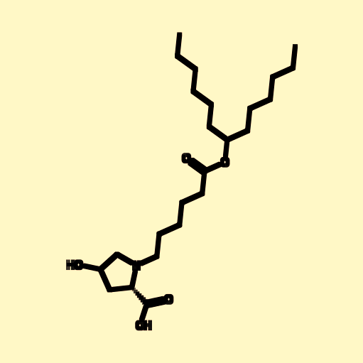 CCCCCCC(CCCCCC)OC(=O)CCCCCN1CC(O)C[C@H]1C(=O)O